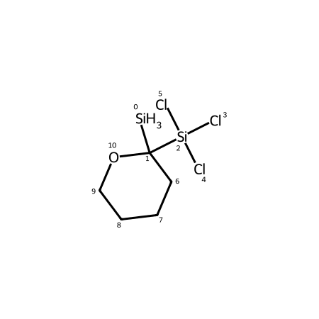 [SiH3]C1([Si](Cl)(Cl)Cl)CCCCO1